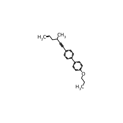 C=CCC(C)C#Cc1ccc(-c2ccc(OCCC)cc2)cc1